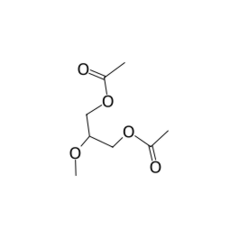 COC(COC(C)=O)COC(C)=O